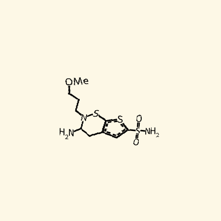 COCCCN1Sc2sc(S(N)(=O)=O)cc2CC1N